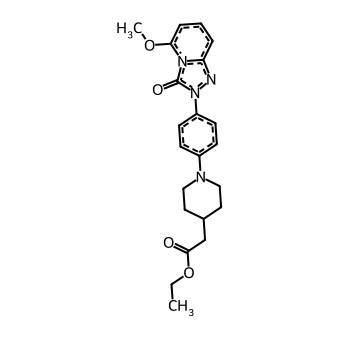 CCOC(=O)CC1CCN(c2ccc(-n3nc4cccc(OC)n4c3=O)cc2)CC1